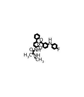 CCNC(C)C(=O)Nc1ccc(-c2ccccc2)n(C(=O)c2cccc(Nc3ccc(F)cc3)c2)c1=O